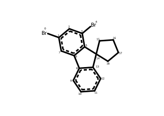 Brc1cc(Br)c2c(c1)-c1ccccc1C21CCCC1